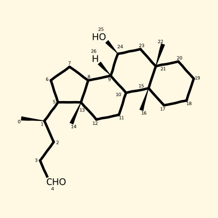 C[C@H](CCC=O)C1CCC2[C@H]3C(CC[C@@]21C)[C@@]1(C)CCCC[C@@]1(C)C[C@@H]3O